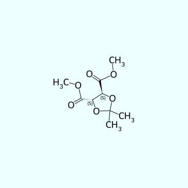 COC(=O)[C@H]1OC(C)(C)O[C@@H]1C(=O)OC